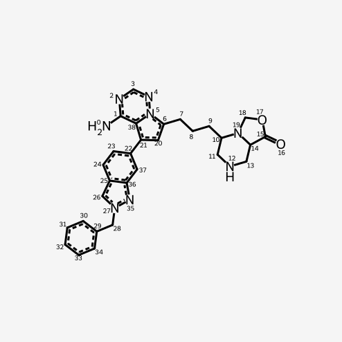 Nc1ncnn2c(CCCC3CNCC4C(=O)OCN34)cc(-c3ccc4cn(Cc5ccccc5)nc4c3)c12